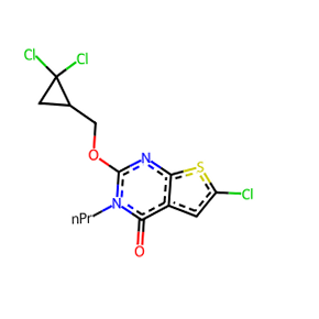 CCCn1c(OCC2CC2(Cl)Cl)nc2sc(Cl)cc2c1=O